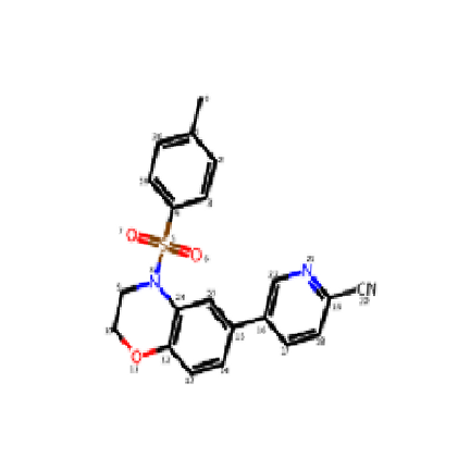 Cc1ccc(S(=O)(=O)N2CCOc3ccc(-c4ccc(C#N)nc4)cc32)cc1